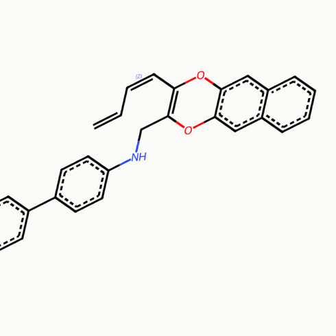 C=C/C=C\C1=C(CNc2ccc(-c3ccccc3)cc2)Oc2cc3ccccc3cc2O1